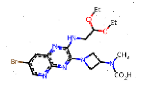 CCOC(CNc1nc2cc(Br)cnc2nc1N1CC(N(C)C(=O)O)C1)OCC